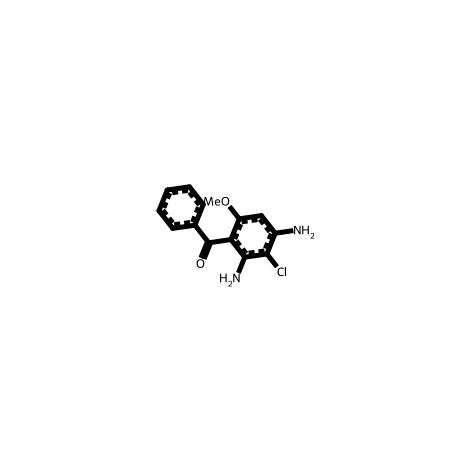 COc1cc(N)c(Cl)c(N)c1C(=O)c1ccccc1